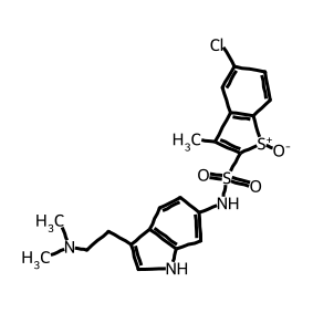 Cc1c(S(=O)(=O)Nc2ccc3c(CCN(C)C)c[nH]c3c2)[s+]([O-])c2ccc(Cl)cc12